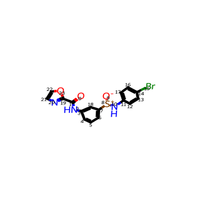 O=C(Nc1cccc([S+]([O-])Nc2ccc(Br)cc2)c1)c1ncco1